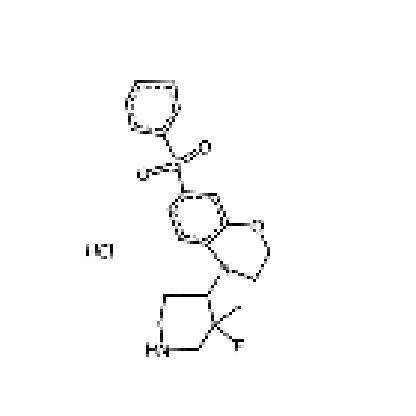 CC1(F)CNCCC1N1CCOc2cc(S(=O)(=O)c3ccccc3)ccc21.Cl